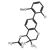 COc1cccc(Cl)c1-c1ccc2c(c1)OCC(C)(C)C2OC(N)=O